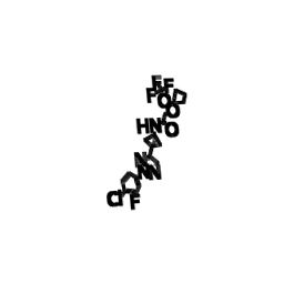 O=C(COC1(OC(F)(F)F)CCC1)NC12CC(c3cnn(-c4ccc(Cl)c(F)c4)n3)(C1)C2